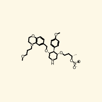 COCCCN1CCOc2ccc(CO[C@H]3CNC[C@@H](OCC[C@H](C)O[N+](=O)[O-])[C@@H]3c3ccc(OC)cc3)cc21